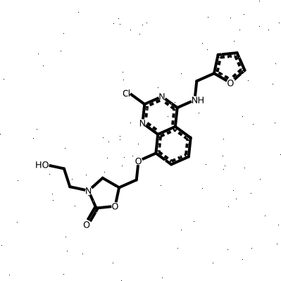 O=C1OC(COc2cccc3c(NCc4ccco4)nc(Cl)nc23)CN1CCO